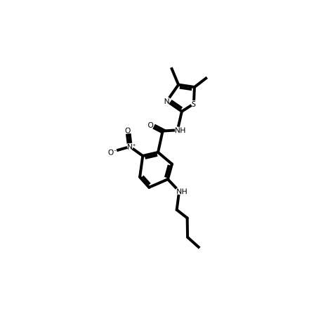 CCCCNc1ccc([N+](=O)[O-])c(C(=O)Nc2nc(C)c(C)s2)c1